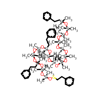 C[Si](C)(CCc1ccccc1)O[Si](C)(C)O[Si](C)(C)O[Si](C)(C)O[Si](C)(C)O[Si](C)(C)O[Si](C)(C)O[Si](C)(C)O[Si](C)(C)O[Si](C)(CCc1ccccc1)O[Si](C)(C)O[Si](C)(C)O[Si](C)(CCc1ccccc1)O[Si](C)(C)O[Si](C)(C)OSCCc1ccccc1